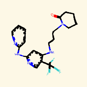 O=C1CCCCN1CCCNc1cc(Nc2ccccn2)ncc1C(F)(F)F